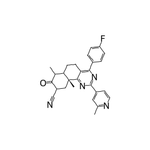 Cc1cc(-c2nc(-c3ccc(F)cc3)c3c(n2)[C@]2(C)CC(C#N)C(=O)C(C)C2CC3)ccn1